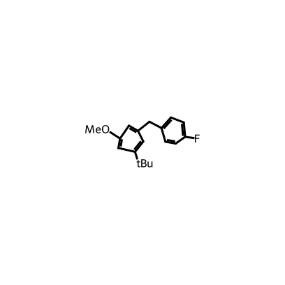 COc1cc(Cc2ccc(F)cc2)cc(C(C)(C)C)c1